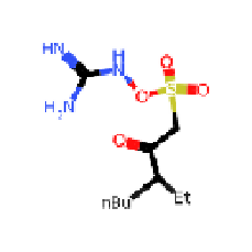 CCCCC(CC)C(=O)CS(=O)(=O)ONC(=N)N